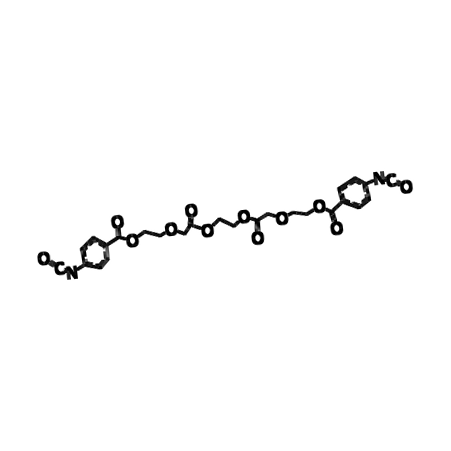 O=C=Nc1ccc(C(=O)OCCOCC(=O)OCCOC(=O)COCCOC(=O)c2ccc(N=C=O)cc2)cc1